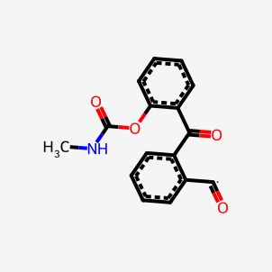 CNC(=O)Oc1ccccc1C(=O)c1ccccc1[C]=O